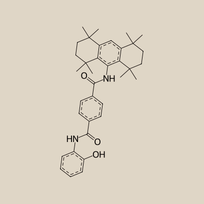 CC1(C)CCC(C)(C)c2c1cc1c(c2NC(=O)c2ccc(C(=O)Nc3ccccc3O)cc2)C(C)(C)CCC1(C)C